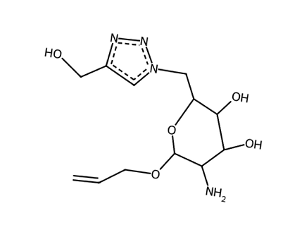 C=CCOC1OC(Cn2cc(CO)nn2)C(O)C(O)C1N